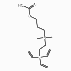 C=C[Si](C=C)(C=C)CC[Si](C)(C)CCCOC(=O)O